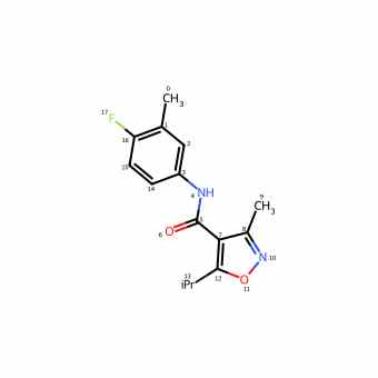 Cc1cc(NC(=O)c2c(C)noc2C(C)C)ccc1F